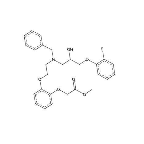 COC(=O)COc1ccccc1OCCN(Cc1ccccc1)CC(O)COc1ccccc1F